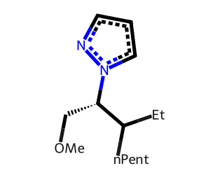 CCCCCC(CC)[C@H](COC)n1cccn1